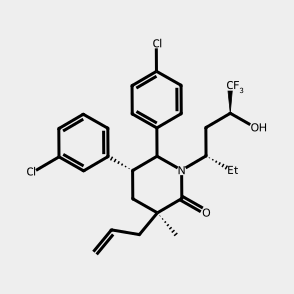 C=CC[C@@]1(C)C[C@H](c2cccc(Cl)c2)C(c2ccc(Cl)cc2)N([C@@H](CC)C[C@H](O)C(F)(F)F)C1=O